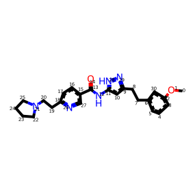 COc1cccc(CCc2cc(NC(=O)c3ccc(CCN4CCCC4)nc3)[nH]n2)c1